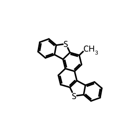 Cc1cc2c(ccc3sc4ccccc4c32)c2c1sc1ccccc12